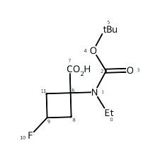 CCN(C(=O)OC(C)(C)C)C1(C(=O)O)CC(F)C1